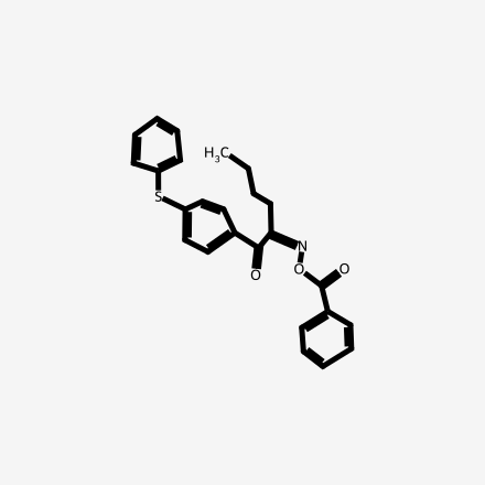 CCCC/C(=N/OC(=O)c1ccccc1)C(=O)c1ccc(Sc2ccccc2)cc1